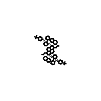 CCCc1cc(N(c2cccc3c2CCCC3)c2cccc3c2c2ccccc2n3-c2ccc(C(C)(C)C)cc2)c2ccc3c(CCC)cc(N(c4cccc5c4CCCC5)c4cccc5c4c4ccccc4n5-c4ccc(C(C)(C)C)cc4)c4ccc1c2c34